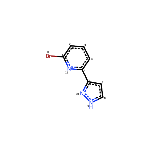 Brc1cccc(-c2cc[nH]n2)n1